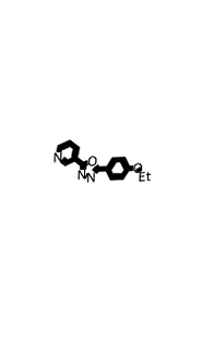 CCOc1ccc(-c2nnc(-c3cccnc3)o2)cc1